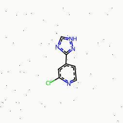 Clc1cc(-c2nc[nH]n2)ccn1